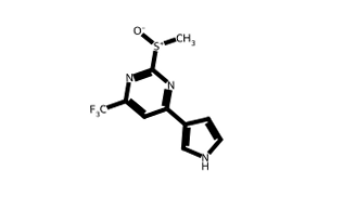 C[S+]([O-])c1nc(-c2cc[nH]c2)cc(C(F)(F)F)n1